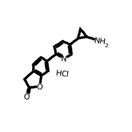 Cl.NC1CC1c1ccc(-c2ccc3c(c2)OC(=O)C3)nc1